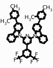 Cc1ccc(-c2ccc3c(c2)c2ccccc2n3-c2cc(-c3cc(C(F)(F)F)cc(C(F)(F)F)c3)cc(-n3c4ccccc4c4cc(-c5ccc(C)cc5C)ccc43)n2)c(C)c1